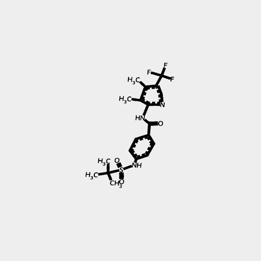 Cc1c(C(F)(F)F)cnc(NC(=O)c2ccc(NS(=O)(=O)C(C)(C)C)cc2)c1C